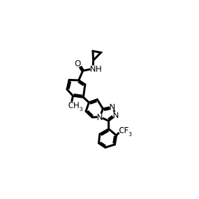 Cc1ccc(C(=O)NC2CC2)cc1-c1ccn2c(-c3ccccc3C(F)(F)F)nnc2c1